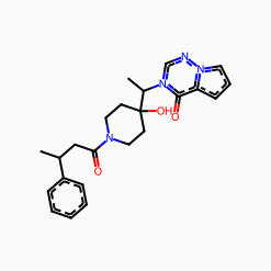 CC(CC(=O)N1CCC(O)(C(C)n2cnn3cccc3c2=O)CC1)c1ccccc1